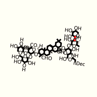 CCCCCCCCCCCC(=O)N[C@H]1C(CO)O[C@@H](OC(=O)[C@]23CCC(C)(C)CC2C2=CCC4C5(C)CC[C@H](O[C@@H]6OC(C(=O)O)[C@@H](O)C(O[C@@H]7OC[C@@H](O)C(O)[C@@H]7O)[C@@H]6O[C@@H]6OC(CO)[C@H](O)C(O)[C@@H]6O)[C@](C)(C=O)C5CC[C@@]4(C)[C@]2(C)C[C@H]3O)C(O[C@H](OC(C)[C@@H](C)O[C@@H]2OC[C@@H](O)[C@@H](O)C2O)[C@@H](O)CO)[C@@H]1O